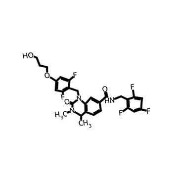 CC1c2ccc(C(=O)NCc3c(F)cc(F)cc3F)cc2N(Cc2c(F)cc(OCCCO)cc2F)C(=O)N1C